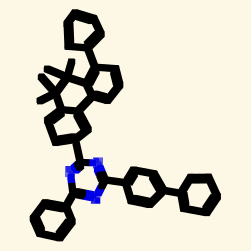 CC1(C)c2ccc(-c3nc(-c4ccccc4)nc(-c4ccc(-c5ccccc5)cc4)n3)cc2-c2cccc(-c3ccccc3)c2C1(C)C